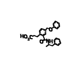 CC(Cc1ccccc1)NC(=O)c1cc(COc2ccccc2)ccc1CCC(=O)O